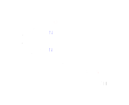 COc1ccc(Cn2c[n+]([O-])c3ccccc32)cc1